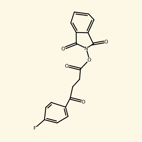 O=C(CCC(=O)c1ccc(F)cc1)ON1C(=O)c2ccccc2C1=O